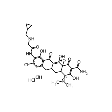 CN(C)[C@@H]1C(O)=C(C(N)=O)C(=O)C2(O)C(O)=C3C(=O)c4c(cc(Cl)c(NC(=O)CNCC5CC5)c4O)CC3CC12.Cl.Cl